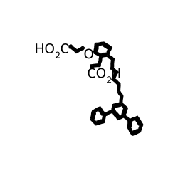 O=C(O)CCCOc1cccc(CCCCCCCc2cc(-c3ccccc3)cc(-c3ccccc3)c2)c1CCC(=O)O